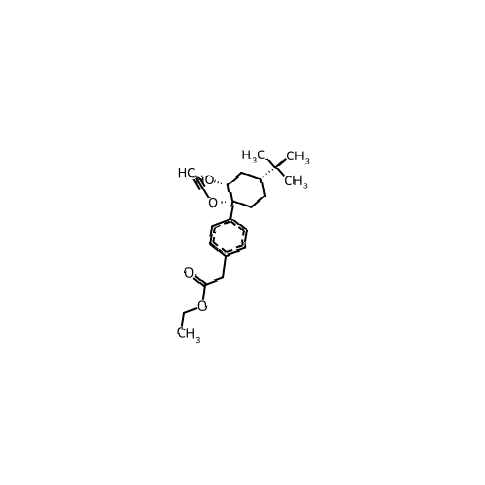 C#CO[C@@]1(c2ccc(CC(=O)OCC)cc2)CC[C@@H](C(C)(C)C)C[C@H]1O